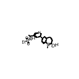 CCS(=O)(=O)NC(C)c1cncc(-c2ccc3c(c2)CCC(O)N3C)c1